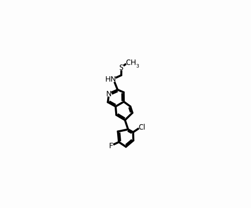 CSCNc1cc2ccc(-c3cc(F)ccc3Cl)cc2cn1